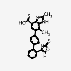 Cc1nc2c(C(O)=S)cc(-c3ccc(-c4ccccc4-c4nc(=S)o[nH]4)cc3)c(C)c2[nH]1